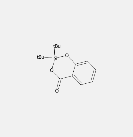 CC(C)(C)[Si]1(C(C)(C)C)OC(=O)c2ccccc2O1